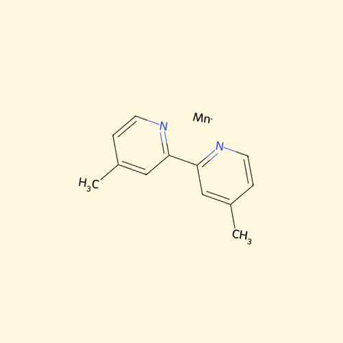 Cc1ccnc(-c2cc(C)ccn2)c1.[Mn]